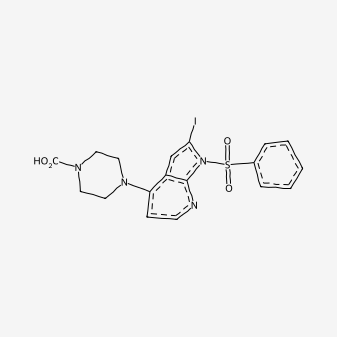 O=C(O)N1CCN(c2ccnc3c2cc(I)n3S(=O)(=O)c2ccccc2)CC1